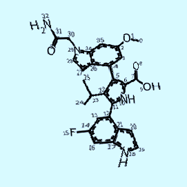 COc1cc(-c2c(C(=O)O)[nH]c(-c3cc(F)cc4[nH]ccc34)c2C(C)C)c2ccn(CC(N)=O)c2c1